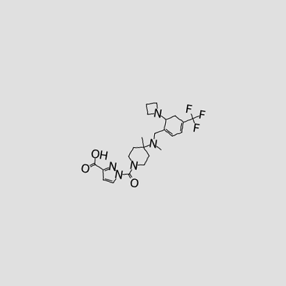 CN(CC1=CC=C(C(F)(F)F)CC1N1CCC1)C1(C)CCN(C(=O)n2ccc(C(=O)O)n2)CC1